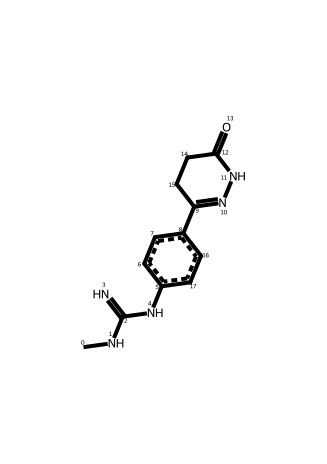 CNC(=N)Nc1ccc(C2=NNC(=O)CC2)cc1